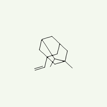 C=CC12CC3CC(C1)C(C)C(C)(C3)C2